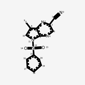 N#Cc1cnc2c(n1)c(I)cn2S(=O)(=O)c1ccccc1